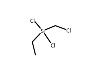 CC[Si](Cl)(Cl)CCl